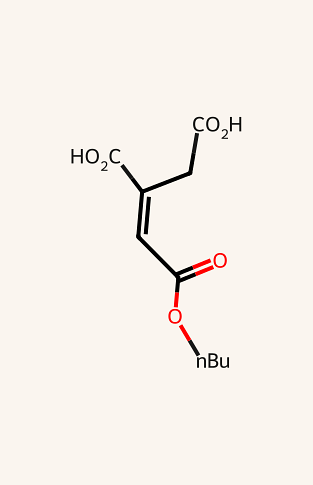 CCCCOC(=O)C=C(CC(=O)O)C(=O)O